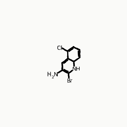 NC1=C(Br)NC2C=CC=C(Cl)C2=C1